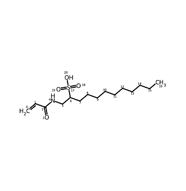 C=CC(=O)NCC(CCCCCCCCCC)S(=O)(=O)O